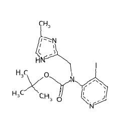 Cc1c[nH]c(CN(C(=O)OC(C)(C)C)c2cnccc2I)n1